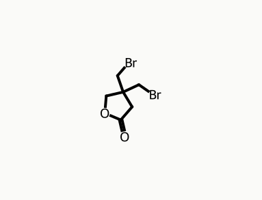 O=C1CC(CBr)(CBr)CO1